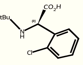 CC(C)(C)N[C@@H](C(=O)O)c1ccccc1Cl